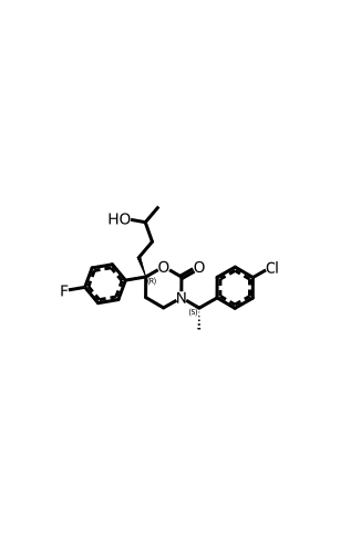 CC(O)CC[C@]1(c2ccc(F)cc2)CCN([C@@H](C)c2ccc(Cl)cc2)C(=O)O1